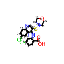 O=C(O)c1ccc(Cl)cc1Nc1c(SN2CCOCC2)cnc2ccc(Cl)cc12